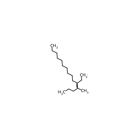 [CH2]CCC(C)=C(C[CH2])CCCCCCCCCC